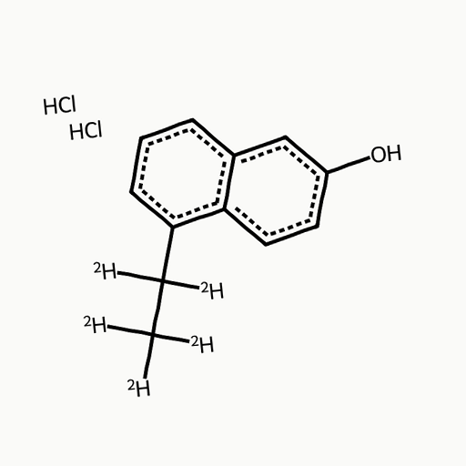 Cl.Cl.[2H]C([2H])([2H])C([2H])([2H])c1cccc2cc(O)ccc12